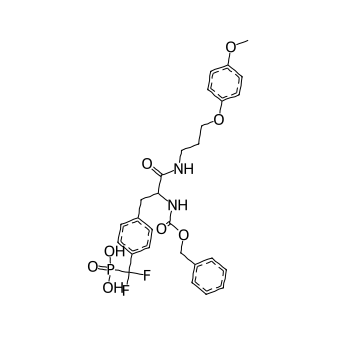 COc1ccc(OCCCNC(=O)C(Cc2ccc(C(F)(F)P(=O)(O)O)cc2)NC(=O)OCc2ccccc2)cc1